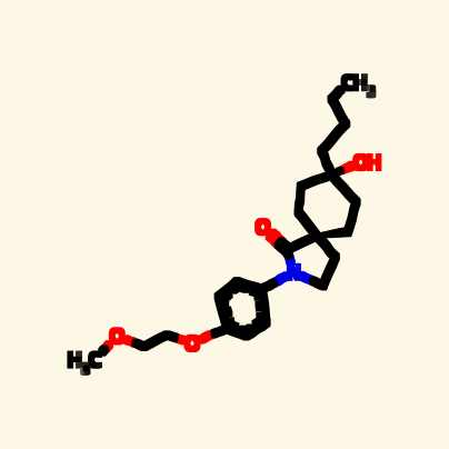 CCCC[C@]1(O)CC[C@]2(CCN(c3ccc(OCCOC)cc3)C2=O)CC1